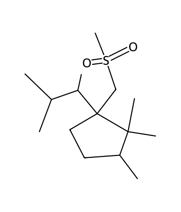 CC(C)C(C)C1(CS(C)(=O)=O)CCC(C)C1(C)C